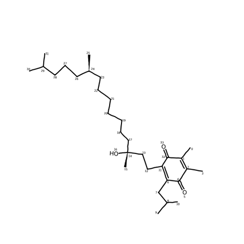 CC1=C(C)C(=O)C(CC(C)C)=C(CC[C@](C)(O)CCCCCCC[C@H](C)CCCC(C)C)C1=O